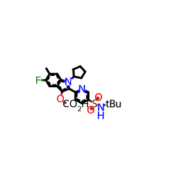 Cc1cc2c(cc1F)c(OC(=O)O)c(-c1ccc(S(=O)(=O)NC(C)(C)C)cn1)n2C1CCCC1